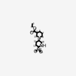 CCOC(=O)C1CCCN(C2CCC([N+](=O)[O-])NC2)C1